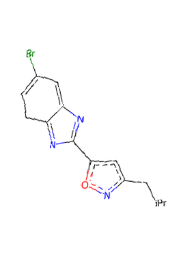 CC(C)Cc1cc(C2=NC3=CC(Br)=CCC3=N2)on1